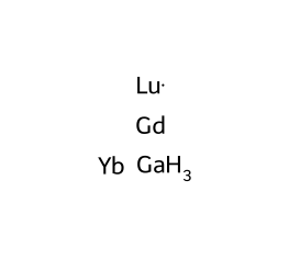 [GaH3].[Gd].[Lu].[Yb]